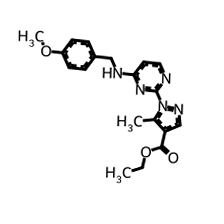 CCOC(=O)c1cnn(-c2nccc(NCc3ccc(OC)cc3)n2)c1C